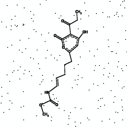 CCC(=O)c1c(O)cc(CCC/C=C/NC(=O)OC)oc1=O